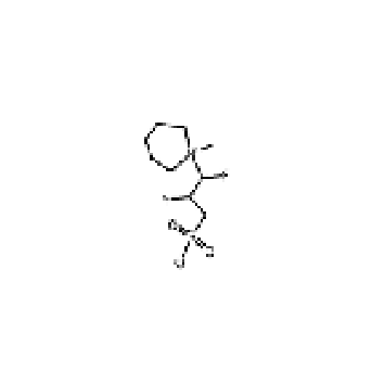 C[N+]1(C(F)C(F)CS(=O)(=O)[O-])CCCCC1